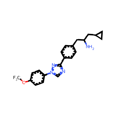 NC(Cc1ccc(-c2ncn(-c3ccc(OC(F)(F)F)cc3)n2)cc1)CC1CC1